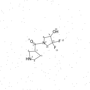 O=C(C1CCNC1)N1CC(O)C(F)(F)C1